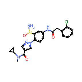 CN(C(=O)c1cnn(-c2ccc(NC(=O)Cc3ccccc3Cl)cc2[S+](N)[O-])c1)C1CC1